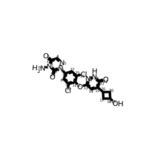 Nn1c(=O)cnn(-c2cc(Cl)c(Oc3cc(C4CC(O)C4)c(=O)[nH]n3)c(Cl)c2)c1=O